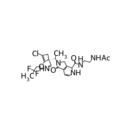 CC(=O)NCCNC(=O)C1NC=CC2=C1CN(C(C)[C@@]1(C=N)CC(Cl)=C1OCC(C)(F)F)C2=O